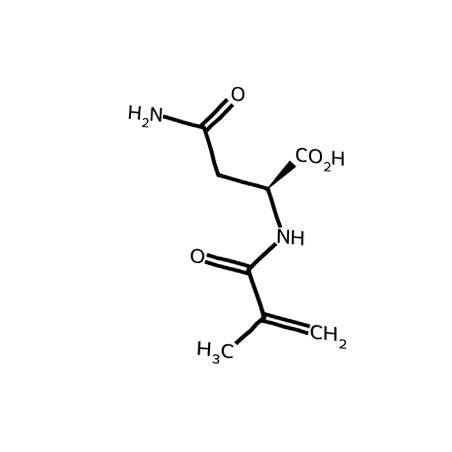 C=C(C)C(=O)N[C@@H](CC(N)=O)C(=O)O